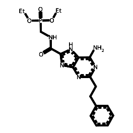 CCOP(=O)(CNC(=O)c1nc2nc(CCc3ccccc3)nc(N)c2[nH]1)OCC